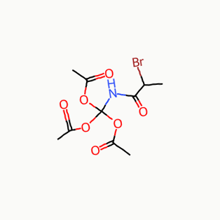 CC(=O)OC(NC(=O)C(C)Br)(OC(C)=O)OC(C)=O